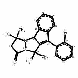 CC1(C)CC(=O)N2N1C1C(=C(c3ccccc3Br)c3ccccc31)C2(C)C